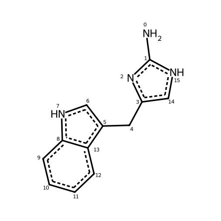 Nc1nc(Cc2c[nH]c3ccccc23)c[nH]1